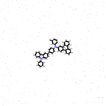 Cc1cccc(N(c2ccc(-c3ccc4c(c3)c3ccccc3n4-c3ccccc3)cc2)c2ccc3c4ccccc4c4ccccc4c3c2)c1